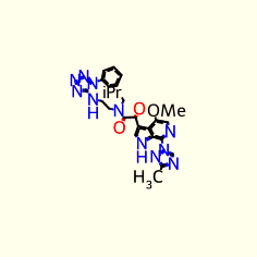 COc1cnc(-n2cnc(C)n2)c2[nH]cc(C(=O)C(=O)N(CCNc3nnnn3-c3ccccc3)CC(C)C)c12